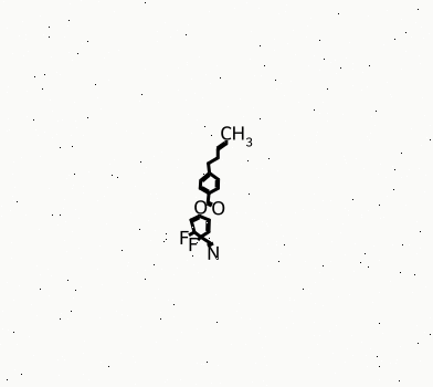 CC=CCCc1ccc(C(=O)OC2=CC(F)C(F)(C#N)C=C2)cc1